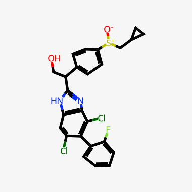 [O-][S+](CC1CC1)c1ccc(C(CO)c2nc3c(Cl)c(-c4ccccc4F)c(Cl)cc3[nH]2)cc1